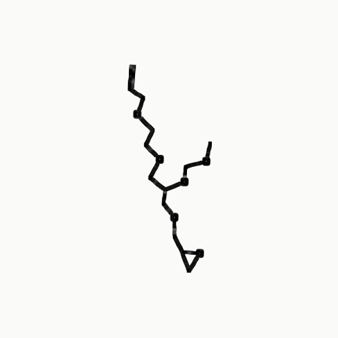 C=CCOCCOCC(COCC1CO1)OCOC